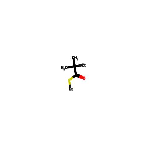 CCSC(=O)C(C)(C)CC